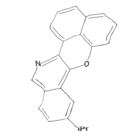 CC(C)c1ccc2cnc3c(c2c1)Oc1cccc2cccc-3c12